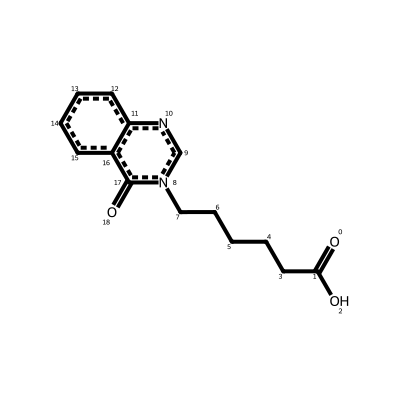 O=C(O)CCCCCn1cnc2ccccc2c1=O